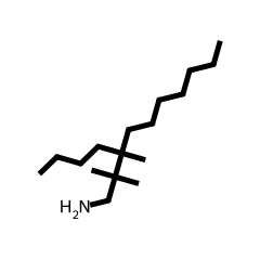 CCCCCCCC(C)(CCCC)C(C)(C)CN